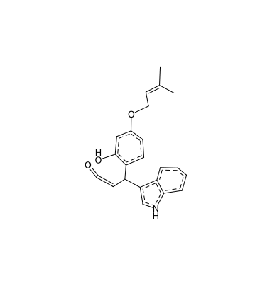 CC(C)=CCOc1ccc(C(C=C=O)c2c[nH]c3ccccc23)c(O)c1